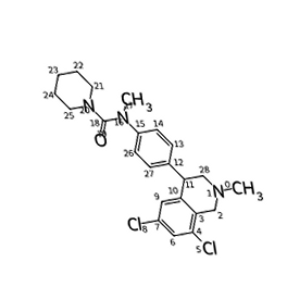 CN1Cc2c(Cl)cc(Cl)cc2C(c2ccc(N(C)C(=O)N3CCCCC3)cc2)C1